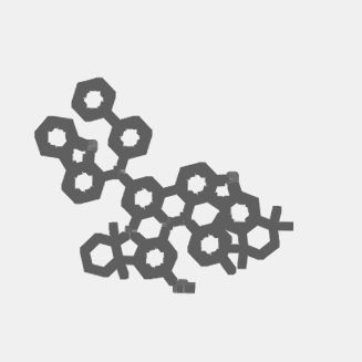 Cc1ccc(N2B3c4cc(C(C)(C)C)cc5c4N(c4cc(N(c6cccc(-c7ccccc7)c6)c6cccc7c6oc6ccccc67)cc(c43)-c3ccc4oc6cc7c(cc6c4c32)C(C)(C)CCC7(C)C)C2(C)CCCCC52C)c(C)c1